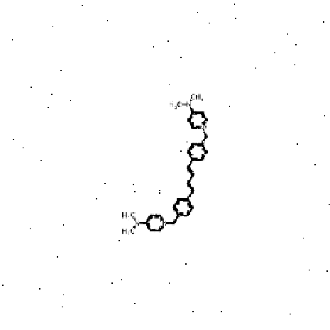 CN(C)c1cc[n+](Cc2ccc(/C=C/C=C/c3ccc(C[n+]4ccc(N(C)C)cc4)cc3)cc2)cc1